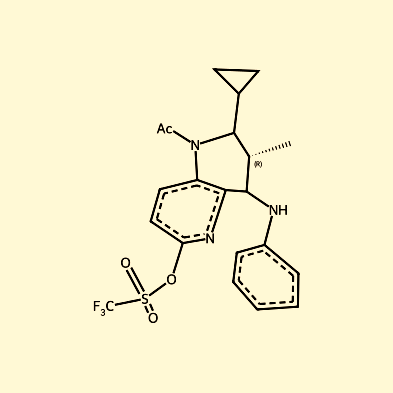 CC(=O)N1c2ccc(OS(=O)(=O)C(F)(F)F)nc2C(Nc2ccccc2)[C@@H](C)C1C1CC1